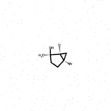 CC(C)[C@]12CC[C@@](C)(O)[C@H]1C2